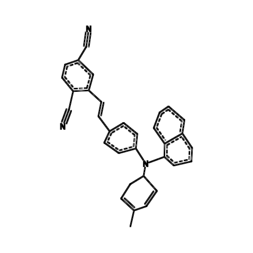 CC1=CCC(N(c2ccc(C=Cc3cc(C#N)ccc3C#N)cc2)c2cccc3ccccc23)C=C1